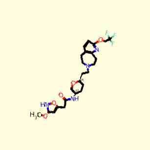 COC1C=C(CC(=O)N[C@H]2CC[C@H](CCN3CCc4ccc(OCC(F)(F)F)nc4CC3)OC2)ON1